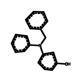 Oc1cccc(N(Cc2ccccc2)c2ccccc2)c1